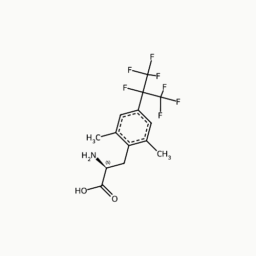 Cc1cc(C(F)(C(F)(F)F)C(F)(F)F)cc(C)c1C[C@H](N)C(=O)O